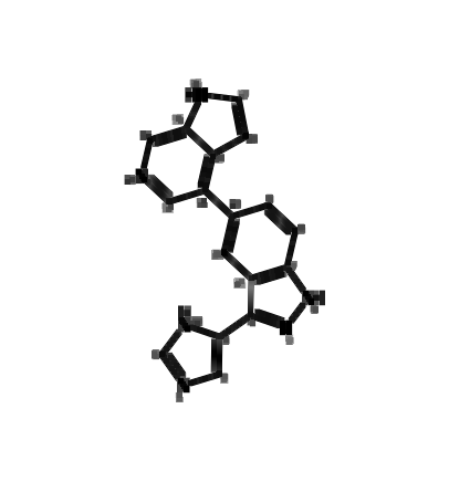 c1ncc(-c2n[nH]c3ccc(-c4cncc5[nH]ccc45)cc23)[nH]1